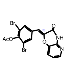 CC(=O)Oc1c(Br)cc(/C=C2\Oc3cccnc3NC2=O)cc1Br